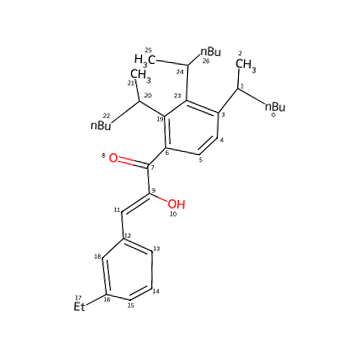 CCCCC(C)c1ccc(C(=O)C(O)=Cc2cccc(CC)c2)c(C(C)CCCC)c1C(C)CCCC